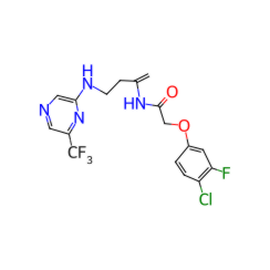 C=C(CCNc1cncc(C(F)(F)F)n1)NC(=O)COc1ccc(Cl)c(F)c1